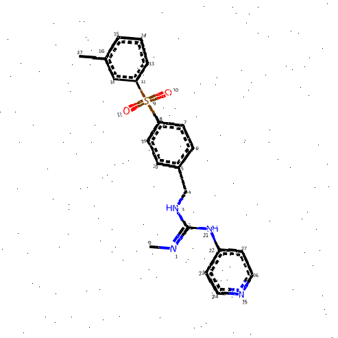 C/N=C(\NCc1ccc(S(=O)(=O)c2cccc(C)c2)cc1)Nc1ccncc1